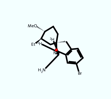 [2H]C1([2H])OC(N)=N[C@]12c1cc(Br)ccc1C[C@]21CC[C@@H](OC)[C@H](CC)C1